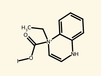 CC[N+]1(C(=O)OI)C=CNc2ccccc21